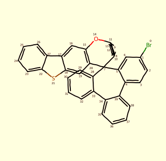 Brc1ccc2c(c1)C1(c3ccccc3Oc3cc4c(cc31)sc1ccccc14)c1ccccc1-c1ccccc1-2